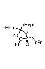 CCCCCCCC(C#N)(CCCCCCC)OP(=O)(OCC)SCCC